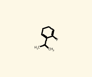 CC(C)C1=CCCC=C1F